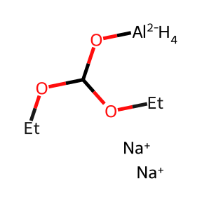 CCOC([O][AlH4-2])OCC.[Na+].[Na+]